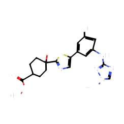 Cc1cc(Nc2ncn(C)n2)cc(-c2cnc(C3(O)CCC(C(=O)OC(C)(C)C)CC3)s2)c1